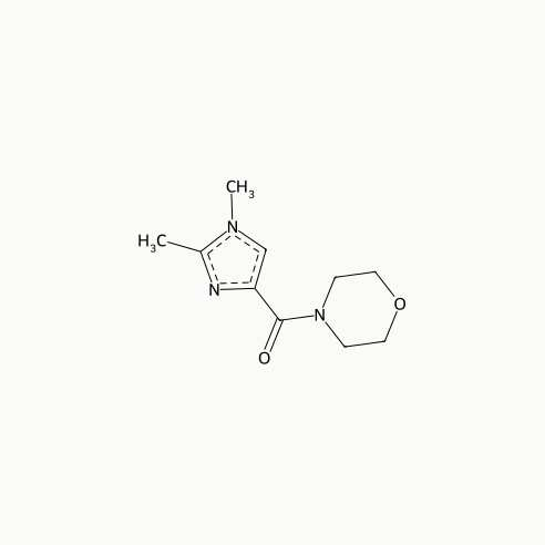 Cc1nc(C(=O)N2CCOCC2)cn1C